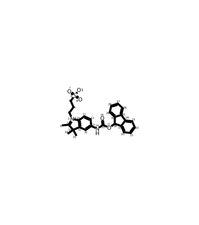 CC1=[N+](CCCS(=O)(=O)[O-])c2ccc(NC(=O)OC3c4ccccc4-c4ccccc43)cc2C1(C)C